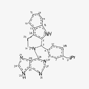 CC(C)c1ccc(C2c3[nH]c4ccccc4c3CCN2c2ncnc3[nH]cnc23)cc1